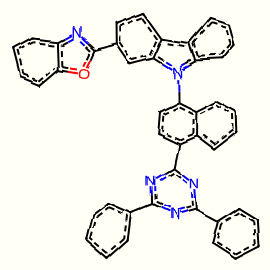 c1ccc(-c2nc(-c3ccccc3)nc(-c3ccc(-n4c5ccccc5c5ccc(-c6nc7ccccc7o6)cc54)c4ccccc34)n2)cc1